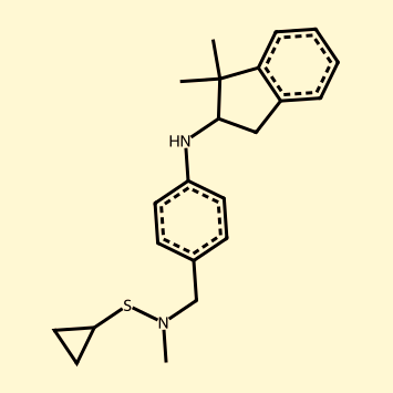 CN(Cc1ccc(NC2Cc3ccccc3C2(C)C)cc1)SC1CC1